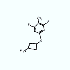 Cc1c(F)cc(OC2CC(N)C2)cc1F